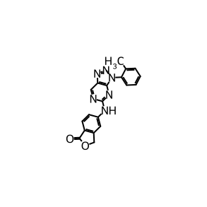 Cc1ccccc1-n1nnc2cnc(Nc3ccc4c(c3)COC4=O)nc21